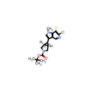 Cn1cc(C2[C@H]3CN(C(=O)OC(C)(C)C)C[C@@H]23)c2cnc(Cl)c(F)c21